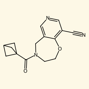 N#Cc1cncc2c1OCCN(C(=O)C13CC(C1)C3)C2